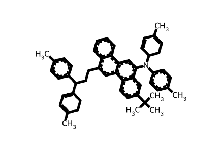 CC1=CCC(N(c2ccc(C)cc2)c2cc3c4ccccc4c(CCC(C4=CC=C(C)CC4)c4ccc(C)cc4)cc3c3ccc(C(C)(C)C)cc23)C=C1